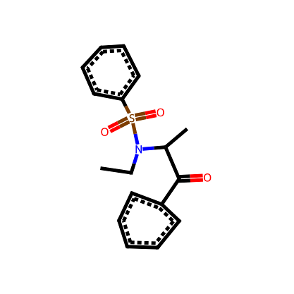 CCN(C(C)C(=O)c1ccccc1)S(=O)(=O)c1ccccc1